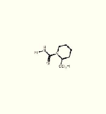 CCNC(=O)N1CCCCC1C(=O)O